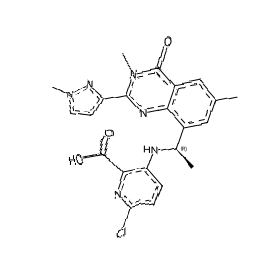 Cc1cc([C@@H](C)Nc2ccc(Cl)nc2C(=O)O)c2nc(-c3ccn(C)n3)n(C)c(=O)c2c1